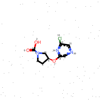 O=C(O)N1CC[C@H](Oc2cncc(Cl)n2)C1